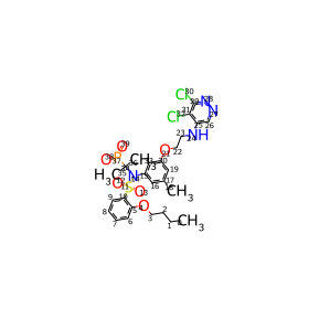 CCCCOc1ccccc1S(=O)(=O)N(c1cc(C)cc(OCCNc2cnnc(Cl)c2Cl)c1)C(C)(C)P(=O)=O